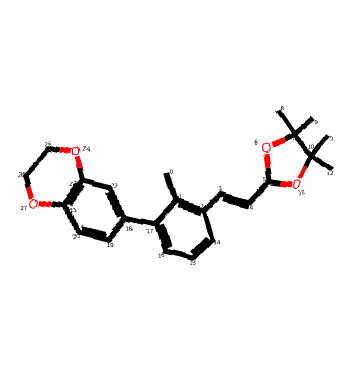 Cc1c(/C=C/C2OC(C)(C)C(C)(C)O2)cccc1-c1ccc2c(c1)OCCO2